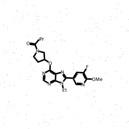 CCn1c(-c2cnc(OC)c(F)c2)nc2c(OC3CCN(C(=O)C(C)C)C3)ncnc21